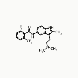 Cc1[nH]c2ccc(NC(=O)c3c(F)cccc3C(F)(F)F)cc2c1CCN(C)C